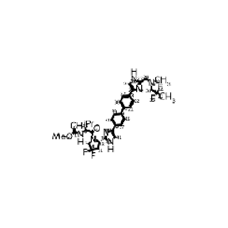 C=C(N[C@H](C(=O)N1CC(F)(F)C[C@H]1c1nc(-c2ccc(-c3ccc(-c4c[nH]c(CN(C)CC(C)(F)F)n4)cc3)cc2)c[nH]1)C(C)C)OC